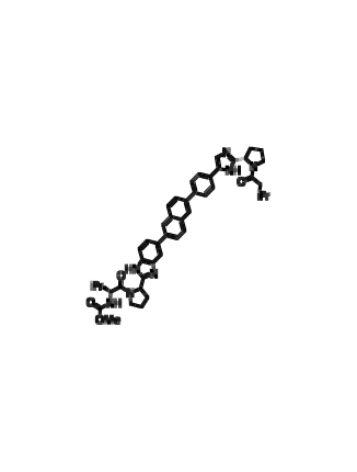 COC(=O)N[C@H](C(=O)N1CCCC1c1nc2cc(-c3ccc4cc(-c5ccc(-c6cnc([C@@H]7CCCN7C(=O)CC(C)C)[nH]6)cc5)ccc4c3)ccc2[nH]1)C(C)C